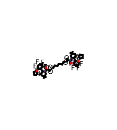 CC1(C)CC(N2CCCC2)=C(c2c(F)c(F)c(F)c(F)c2F)/C(=C(\C#N)C(=O)OCCCCCCOC(=O)/C(C#N)=C2\CC(C)(C)CC(N3CCCC3)=C2c2c(F)c(F)c(F)c(F)c2F)C1